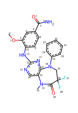 COc1cc(C(N)=O)ccc1Nc1ncc2c(n1)N(c1ccccc1)CC(F)(F)C(=O)N2C